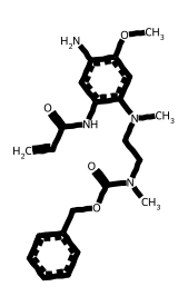 C=CC(=O)Nc1cc(N)c(OC)cc1N(C)CCN(C)C(=O)OCc1ccccc1